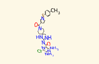 Cc1ccc(Sn2ccc(C(=O)N3CCC4(CC3)CN/C(=N\C(=O)c3nc(Cl)c(N)nc3N)N4)c2)cc1